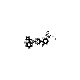 CN(C=O)c1ccc(F)c(-c2cnc(NCC3(c4ncccc4F)CCC3)nc2)c1